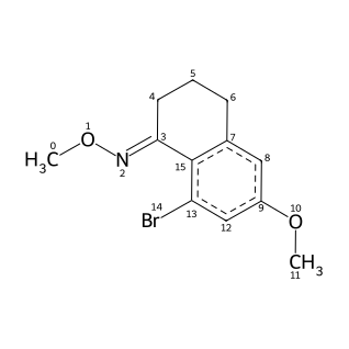 CO/N=C1\CCCc2cc(OC)cc(Br)c21